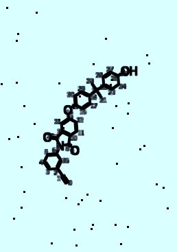 C#Cc1cccc(N2C(=O)c3ccc(Oc4ccc(C(C)(C)C5=CCC(O)C=C5)cc4)cc3C2=O)c1